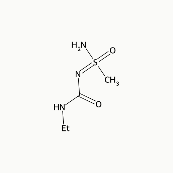 CCNC(=O)N=S(C)(N)=O